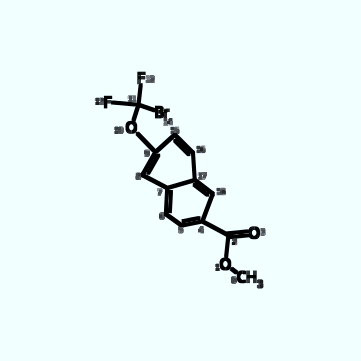 COC(=O)c1ccc2cc(OC(F)(F)Br)ccc2c1